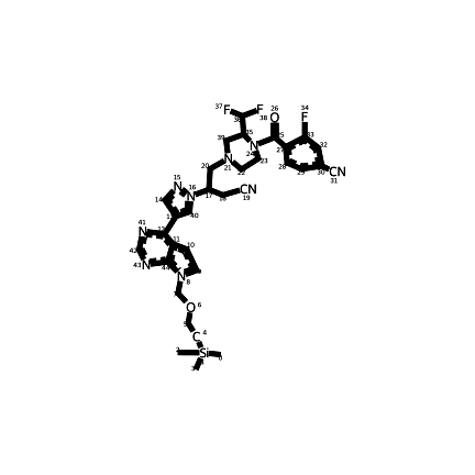 C[Si](C)(C)CCOCn1ccc2c(-c3cnn(C(CC#N)CN4CCN(C(=O)c5ccc(C#N)cc5F)C(C(F)F)C4)c3)ncnc21